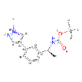 C[C@H](NC(=O)OC(C)(C)C)c1cccc(-c2cnn(C)c2)c1